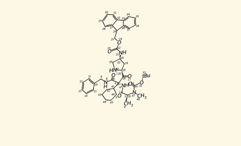 C[C@@H](C(=O)N[C@](C(=O)NCc1ccccc1)(C(=O)[C@@H]1C[C@H](NC(=O)OCC2c3ccccc3-c3ccccc32)CN1)C1CCCCC1)N(C)C(=O)OC(C)(C)C